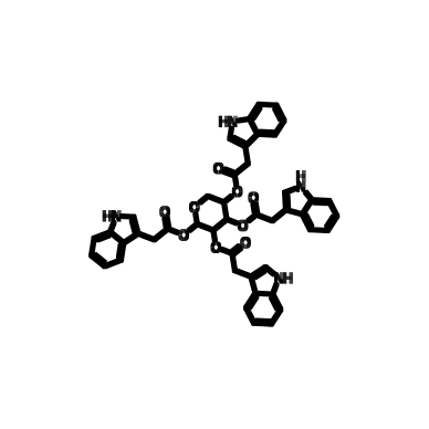 O=C(Cc1c[nH]c2ccccc12)OC1COC(OC(=O)Cc2c[nH]c3ccccc23)C(OC(=O)Cc2c[nH]c3ccccc23)C1OC(=O)Cc1c[nH]c2ccccc12